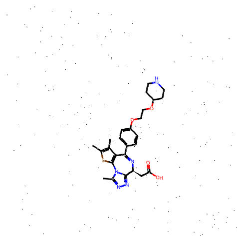 Cc1sc2c(c1C)C(c1ccc(OCCOC3CCNCC3)cc1)=N[C@@H](CC(=O)O)c1nnc(C)n1-2